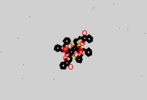 O=C1C(=Cc2cc3c(s2)C2=C(c4sc5cc(C=C6C(=O)c7ccccc7C6=O)sc5c4C2(C(=O)OCc2ccccc2)C(=O)OCc2ccccc2)C3(C(=O)OCc2ccccc2)C(=O)OCc2ccccc2)C(=O)c2ccccc21